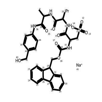 CC(NC(=O)C(NC(=O)C(CS(=O)(=O)[O-])NC(=O)OCC1c2ccccc2-c2ccccc21)C(C)C)C(=O)Nc1ccc(CO)cc1.[Na+]